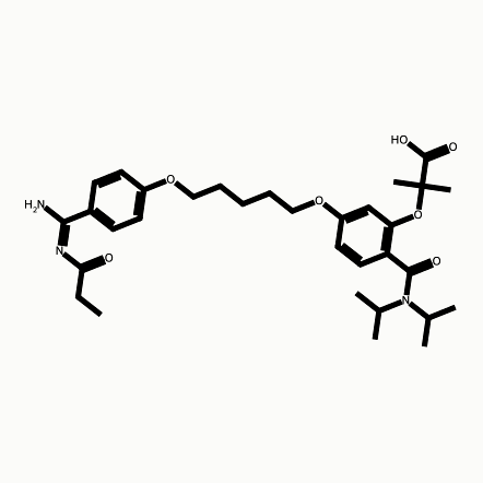 CCC(=O)/N=C(/N)c1ccc(OCCCCCOc2ccc(C(=O)N(C(C)C)C(C)C)c(OC(C)(C)C(=O)O)c2)cc1